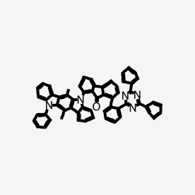 Cc1c2c3ccccc3n(-c3cccc4c3C(=O)c3c(-c5ccccc5-c5nc(-c6ccccc6)nc(-c6ccccc6)n5)cccc3-4)c2c(C)c2c3ccccc3n(-c3ccccc3)c12